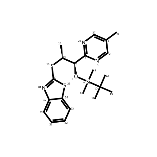 Cc1cnc([C@@H](O[Si](C)(C)C(C)(C)C)[C@H](C)Sc2nc3ccccc3s2)nc1